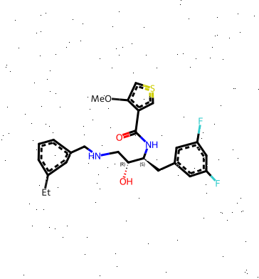 CCc1cccc(CNC[C@@H](O)[C@H](Cc2cc(F)cc(F)c2)NC(=O)c2cscc2OC)c1